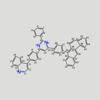 c1ccc(-c2nc(-c3ccc(-c4ccnc5ccccc45)cc3)cc(-c3ccc(-c4c5ccccc5cc5c4ccc4ccccc45)cc3)n2)cc1